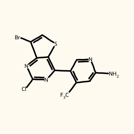 Nc1cc(C(F)(F)F)c(-c2nc(Cl)nc3c(Br)csc23)cn1